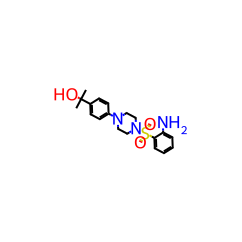 CC(C)(O)c1ccc(N2CCN(S(=O)(=O)c3ccccc3N)CC2)cc1